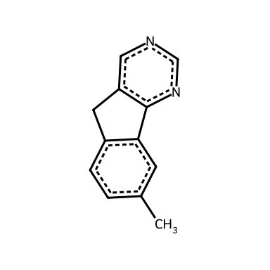 Cc1ccc2c(c1)-c1ncncc1C2